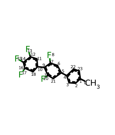 Cc1ccc(-c2cc(F)c(-c3cc(F)c(F)c(F)c3)c(F)c2)cc1